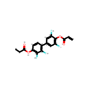 C=CC(=O)Oc1c(F)cc(-c2ccc(OC(=O)CC)c(F)c2F)cc1F